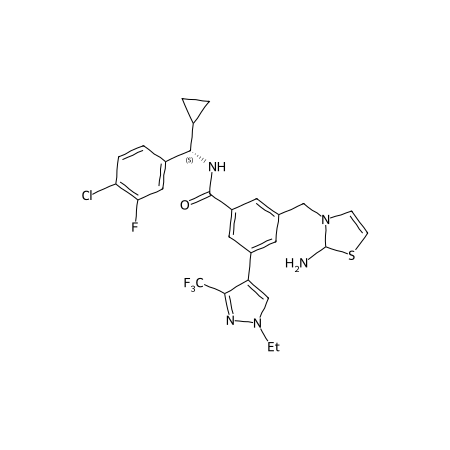 CCn1cc(-c2cc(CN3C=CSC3N)cc(C(=O)N[C@H](c3ccc(Cl)c(F)c3)C3CC3)c2)c(C(F)(F)F)n1